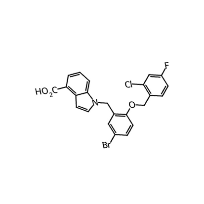 O=C(O)c1cccc2c1ccn2Cc1cc(Br)ccc1OCc1ccc(F)cc1Cl